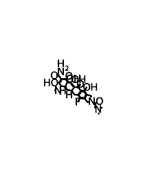 CN(C)CC(=O)N1Cc2c(O)c3c(c(F)c2C1)C[C@H]1C[C@H]2[C@H](N(C)C)C(O)=C(C(N)=O)C(=O)[C@@]2(O)C(O)=C1C3=O